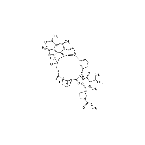 C=CC(=O)N1CC[C@H](C(=O)N(C)C(C(=O)N[C@H]2Cc3cccc(c3)-c3ccc4c(c3)c(c(-c3cnn(C)c3[C@H](C)N(C)C)n4CC)CC(C)(C)COC(=O)[C@@H]3CCCN(N3)C2=O)C(C)C)C1